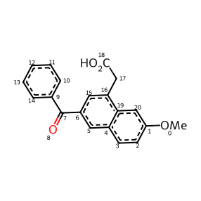 COc1ccc2cc(C(=O)c3ccccc3)cc(CC(=O)O)c2c1